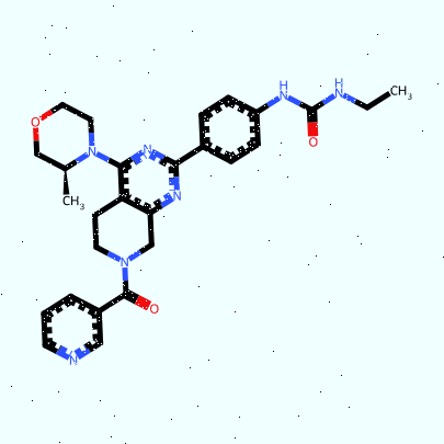 CCNC(=O)Nc1ccc(-c2nc3c(c(N4CCOC[C@@H]4C)n2)CCN(C(=O)c2cccnc2)C3)cc1